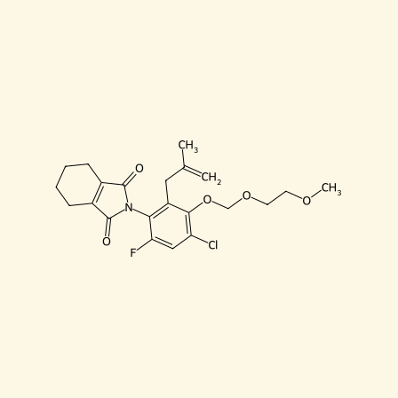 C=C(C)Cc1c(OCOCCOC)c(Cl)cc(F)c1N1C(=O)C2=C(CCCC2)C1=O